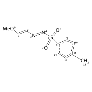 COC=CN=NS(=O)(=O)c1ccc(C)cc1